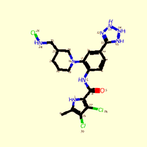 Cc1[nH]c(C(=O)Nc2ccc(C3=NNNN3)cc2N2CCCC(CNCl)C2)c(Cl)c1Cl